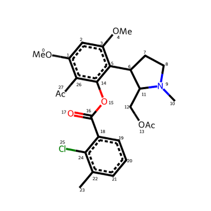 COc1cc(OC)c(C2CCN(C)C2COC(C)=O)c(OC(=O)c2cccc(C)c2Cl)c1C(C)=O